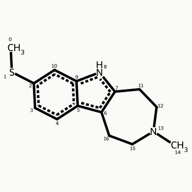 CSc1ccc2c3c([nH]c2c1)CCN(C)CC3